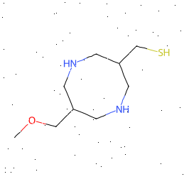 COCC1CNCC(CS)CNC1